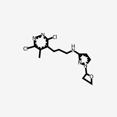 Cc1c(Cl)nnc(Cl)c1CCCNc1ccn(C2CCO2)n1